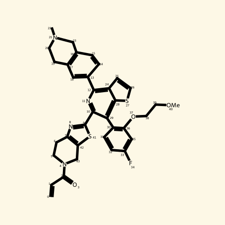 C=CC(=O)N1CCc2nc(-c3nc(-c4ccc5c(c4)CCN(C)C5)c4ccsc4c3-c3ccc(F)cc3OCCOC)sc2C1